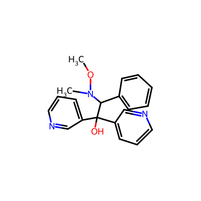 CON(C)C(c1ccccc1)C(O)(c1cccnc1)c1cccnc1